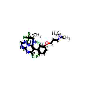 C[C@H](Nc1c(-c2c(F)ccc(OCCCN(C)C)c2F)c(Cl)nc2ncnn12)C(F)(F)F